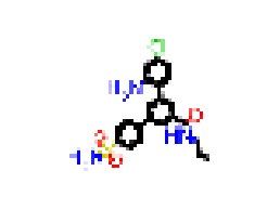 CCCNC(=O)c1cc(-c2ccc(S(N)(=O)=O)cc2)cc(-c2ccc(Cl)cc2N)c1